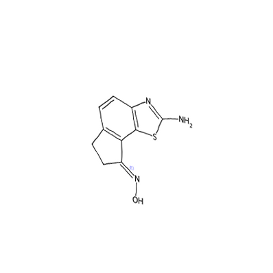 Nc1nc2ccc3c(c2s1)/C(=N/O)CC3